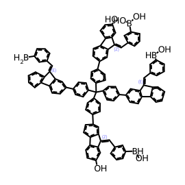 Bc1cccc(/C=C2\c3ccccc3-c3ccc(-c4ccc(C(c5ccc(-c6ccc7c(c6)/C(=C/c6cccc(BO)c6)c6cc(O)ccc6-7)cc5)(c5ccc(-c6ccc7c(c6)/C(=C/c6cccc(B(O)O)c6)c6cc(O)ccc6-7)cc5)c5ccc(-c6ccc7c(c6)/C(=C/c6cccc(BO)c6)c6ccccc6-7)cc5)cc4)cc32)c1